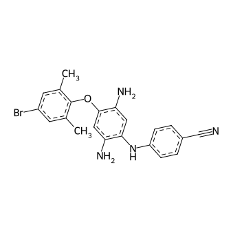 Cc1cc(Br)cc(C)c1Oc1cc(N)c(Nc2ccc(C#N)cc2)cc1N